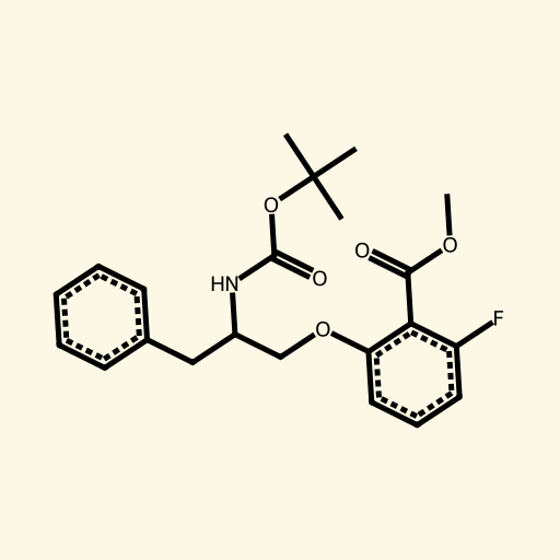 COC(=O)c1c(F)cccc1OCC(Cc1ccccc1)NC(=O)OC(C)(C)C